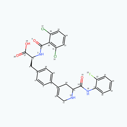 O=C(N[C@@H](Cc1ccc(C2=CCNC(C(=O)Nc3ccccc3F)C2)cc1)C(=O)O)c1c(Cl)cccc1Cl